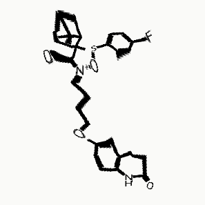 CC1(C(=O)[N+](=CCCCOc2ccc3c(c2)CCC(=O)N3)OSc2ccc(F)cc2)CCC2CC1C2(C)C